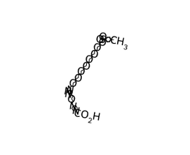 Cc1ccc(S(=O)(=O)OCCOCCOCCOCCOCCOCCOCCOCCn2cc(COCCN3CCN(C(=O)O)CC3)nn2)cc1